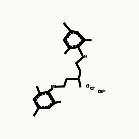 Cc1cc(C)c(NCCN(C)CCNc2c(C)cc(C)cc2C)c(C)c1.[Cl-].[Cl-].[Os+2]